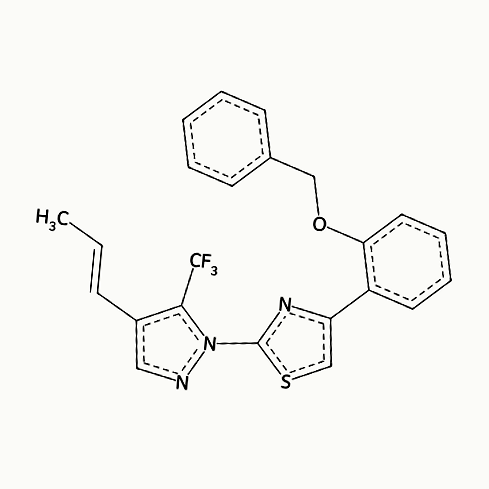 CC=Cc1cnn(-c2nc(-c3ccccc3OCc3ccccc3)cs2)c1C(F)(F)F